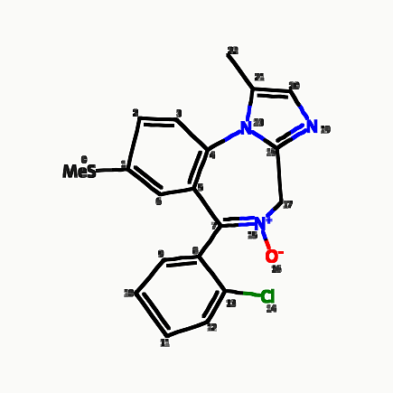 CSc1ccc2c(c1)C(c1ccccc1Cl)=[N+]([O-])Cc1ncc(C)n1-2